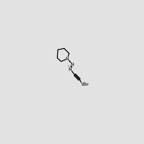 CC(C)(C)C#C/N=N/N1CCCCC1